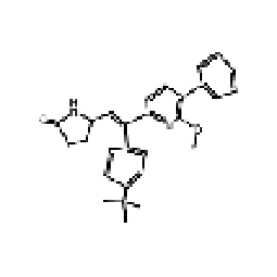 COc1nc(/C(=C/[C@H]2CCC(=O)N2)c2ccc(C(C)(C)C)cc2)ccc1-c1ccccc1